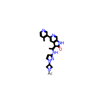 CC(=O)N1CC(n2ccc(N/C(C)=C3\C(=O)Nc4cnc(-c5cnccc5C)cc43)n2)C1